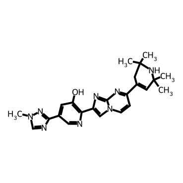 Cn1cnc(-c2cnc(-c3cn4ccc(C5=CC(C)(C)NC(C)(C)C5)nc4n3)c(O)c2)n1